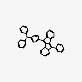 C1=CC2C3=C(c4ccc(N(c5ccccc5)c5ccccc5)cc4)c4ccccc4C3=C(c3ccccc3)C2C=C1